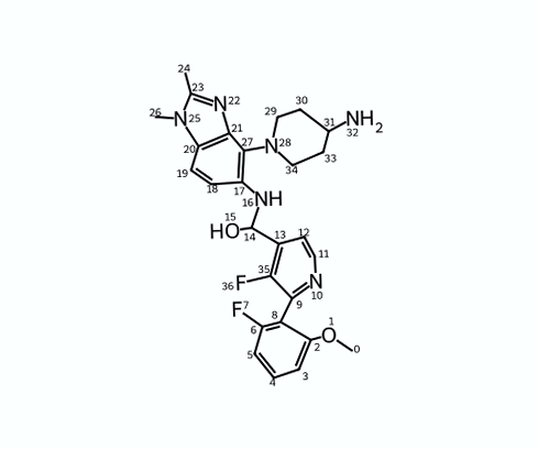 COc1cccc(F)c1-c1nccc(C(O)Nc2ccc3c(nc(C)n3C)c2N2CCC(N)CC2)c1F